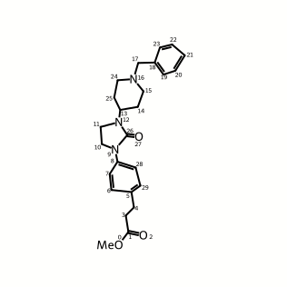 COC(=O)CCc1ccc(N2CCN(C3CCN(Cc4ccccc4)CC3)C2=O)cc1